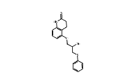 O=C1CCc2c(cccc2OCC(O)CSc2ccccc2)N1